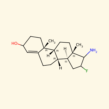 C[C@]12CCC(O)C=C1CC[C@@H]1[C@H]2CC[C@]2(C)C(N)C(F)C[C@@H]12